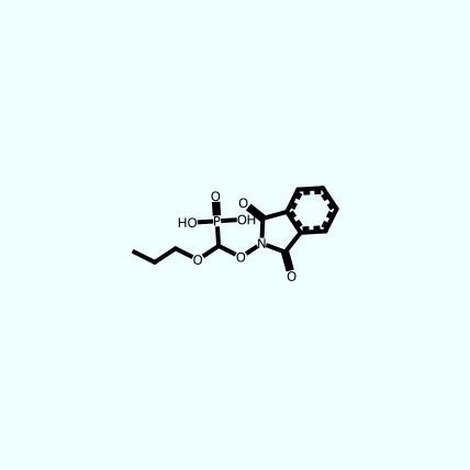 CCCOC(ON1C(=O)c2ccccc2C1=O)P(=O)(O)O